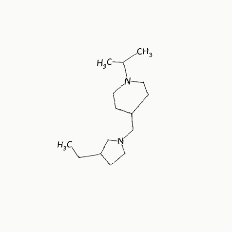 CCC1CCN(CC2CCN(C(C)C)CC2)C1